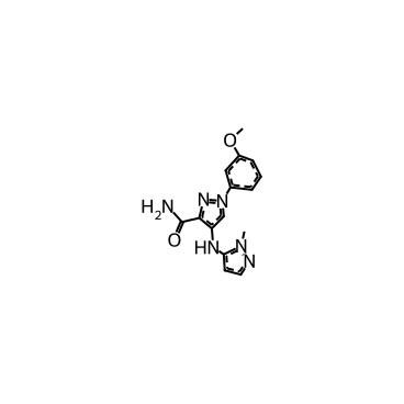 COc1cccc(-n2cc(Nc3ccnn3C)c(C(N)=O)n2)c1